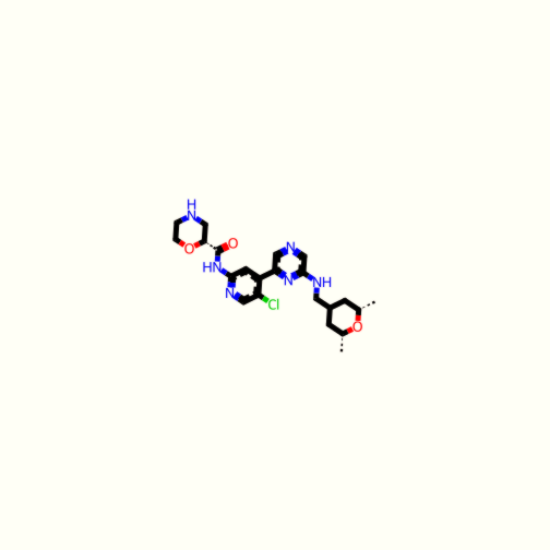 C[C@@H]1CC(CNc2cncc(-c3cc(NC(=O)[C@H]4CNCCO4)ncc3Cl)n2)C[C@H](C)O1